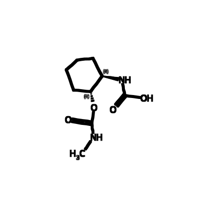 CNC(=O)O[C@@H]1CCCC[C@H]1NC(=O)O